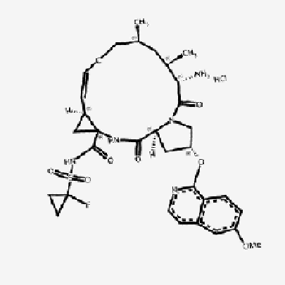 COc1ccc2c(O[C@@H]3C[C@H]4C(=O)N[C@]5(C(=O)NS(=O)(=O)C6(F)CC6)C[C@H]5C=CCC[C@@H](C)C[C@@H](C)[C@H](N)C(=O)N4C3)nccc2c1.Cl